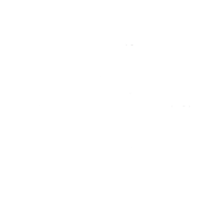 Cc1c(C(=O)[O-])ccc2ccccc12.Cc1c(C(=O)[O-])ccc2ccccc12.[Hg+2]